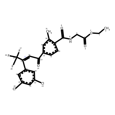 CCOC(=O)CNC(=O)c1ccc(C(=O)/C=C(\c2cc(Cl)cc(Cl)c2)C(F)(F)F)cc1C